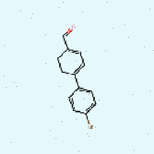 O=CC1=CC=C(c2ccc(Br)cc2)CC1